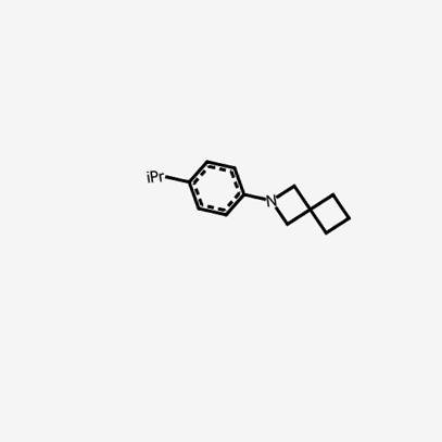 CC(C)c1ccc(N2CC3(CCC3)C2)cc1